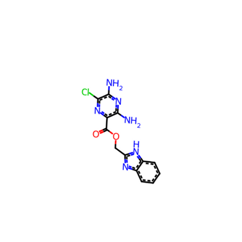 Nc1nc(N)c(C(=O)OCc2nc3ccccc3[nH]2)nc1Cl